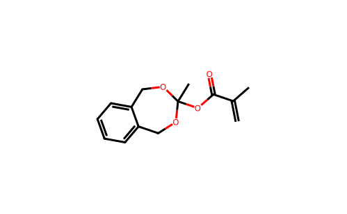 C=C(C)C(=O)OC1(C)OCc2ccccc2CO1